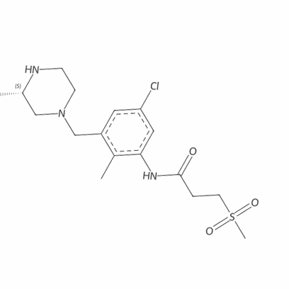 Cc1c(CN2CCN[C@@H](C)C2)cc(Cl)cc1NC(=O)CCS(C)(=O)=O